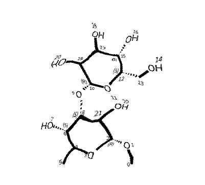 CO[C@@H]1OC(C)[C@H](O)[C@H](O[C@H]2O[C@@H](CO)[C@@H](O)C(O)C2O)C1O